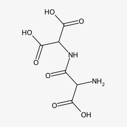 NC(C(=O)O)C(=O)NC(C(=O)O)C(=O)O